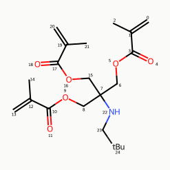 C=C(C)C(=O)OCC(COC(=O)C(=C)C)(COC(=O)C(=C)C)NCC(C)(C)C